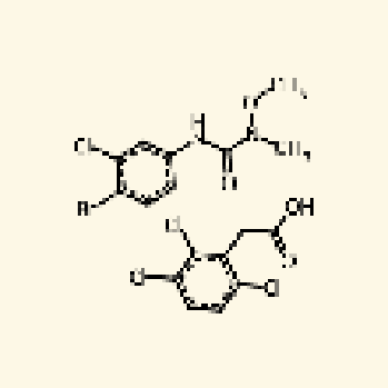 CON(C)C(=O)Nc1ccc(Br)c(Cl)c1.O=C(O)Cc1c(Cl)ccc(Cl)c1Cl